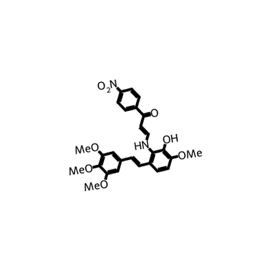 COc1ccc(C=Cc2cc(OC)c(OC)c(OC)c2)c(NC=CC(=O)c2ccc([N+](=O)[O-])cc2)c1O